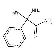 CCCC(N)(C(N)=O)c1ccccc1